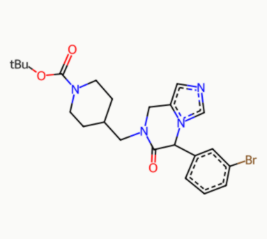 CC(C)(C)OC(=O)N1CCC(CN2Cc3cncn3C(c3cccc(Br)c3)C2=O)CC1